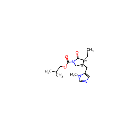 CC[C@H]1C(=O)N(C(=O)OCC(C)C)C[C@@H]1Cc1cncn1C